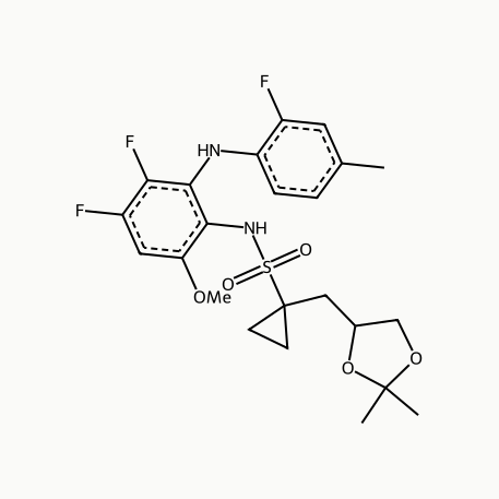 COc1cc(F)c(F)c(Nc2ccc(C)cc2F)c1NS(=O)(=O)C1(CC2COC(C)(C)O2)CC1